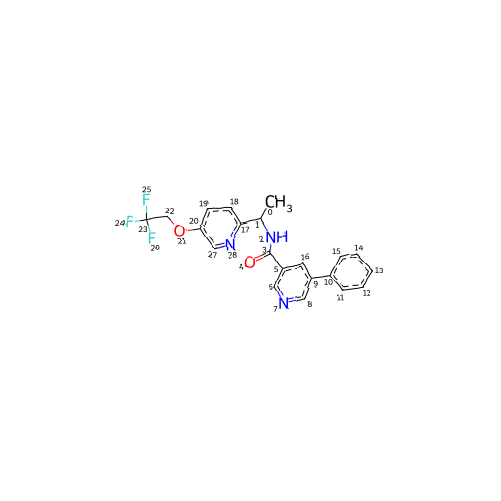 CC(NC(=O)c1cncc(-c2ccccc2)c1)c1ccc(OCC(F)(F)F)cn1